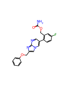 NC(=O)OCc1cc(F)ccc1-c1cnc2nc(COc3ccccc3)cn2c1